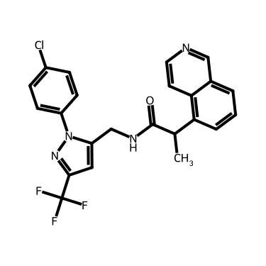 CC(C(=O)NCc1cc(C(F)(F)F)nn1-c1ccc(Cl)cc1)c1cccc2cnccc12